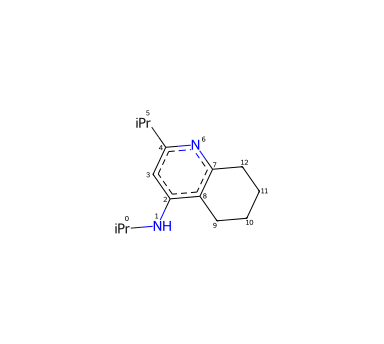 CC(C)Nc1cc(C(C)C)nc2c1CCCC2